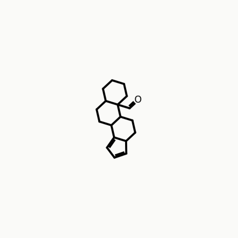 O=CC12CCCCC1CCC1C3=CC=CC3CCC12